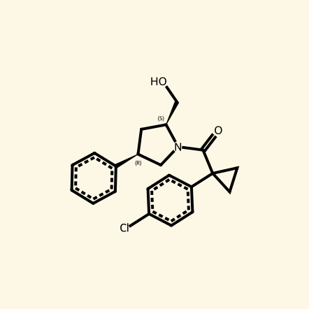 O=C(N1C[C@@H](c2ccccc2)C[C@H]1CO)C1(c2ccc(Cl)cc2)CC1